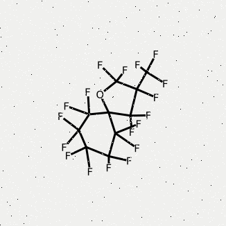 FC(F)(F)C1(F)C(F)(F)OC2(C(F)(F)C(F)(F)C(F)(F)C(F)(F)C2(F)F)C1(F)F